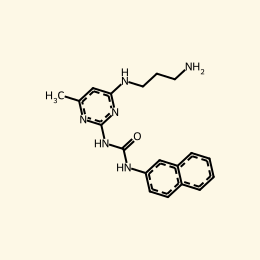 Cc1cc(NCCCN)nc(NC(=O)Nc2ccc3ccccc3c2)n1